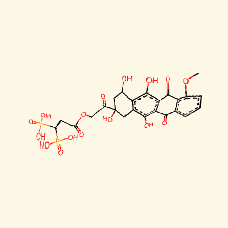 COc1cccc2c1C(=O)c1c(O)c3c(c(O)c1C2=O)CC(O)(C(=O)COC(=O)CC(P(=O)(O)O)P(=O)(O)O)CC3O